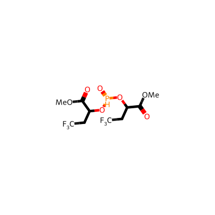 COC(=O)C(CC(F)(F)F)O[PH](=O)OC(CC(F)(F)F)C(=O)OC